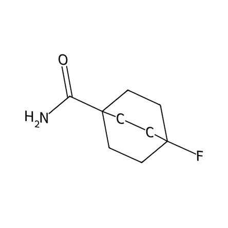 NC(=O)C12CCC(F)(CC1)CC2